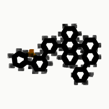 c1ccc(-c2ccc3cccc(-c4c5ccccc5c(-c5cccc(-c6cccc7c6sc6ccccc67)c5)c5ccccc45)c3c2)cc1